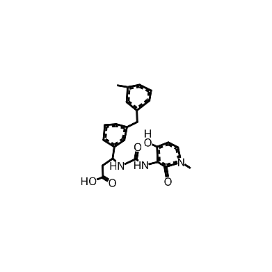 Cc1cccc(Cc2cccc(C(CC(=O)O)NC(=O)Nc3c(O)ccn(C)c3=O)c2)c1